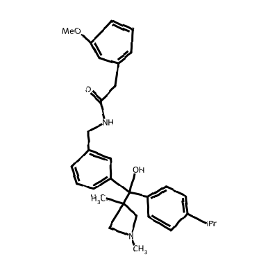 COc1cccc(CC(=O)NCc2cccc(C(O)(c3ccc(C(C)C)cc3)C3(C)CN(C)C3)c2)c1